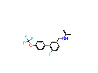 C=C(C)NCc1ccc(F)c(-c2ccc(OC(F)(F)F)cc2)c1